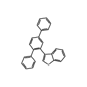 c1ccc(-c2ccc(-c3ccccc3)c(-c3csc4ccccc34)c2)cc1